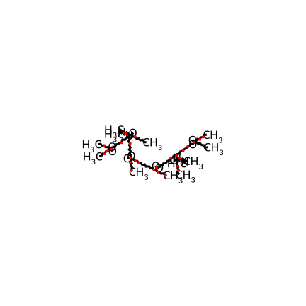 CCCCCCCCC(=O)N(CCCN(C)C)C(CCCCCCCCOC(=O)C(CCCCCC)CCCCCC)CCCCCCCCOC(=O)C(CCCCCC)CCCCCCCCCCCCC(CCCCCC)C(=O)OCCCCCCCCCC(CCCCCCCCCOC(=O)C(CCCCCC)CCCCCC)N(CCCN(C)C)C(=O)CCCCCCC